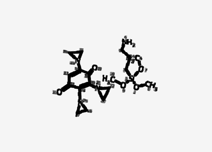 CO[Si](CCCN)(OC)OC.O=C1C=C(N2CC2)C(=O)C(N2CC2)=C1N1CC1